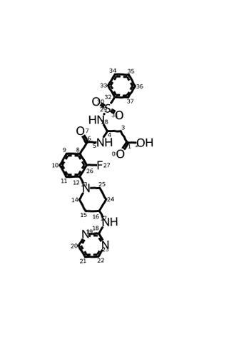 O=C(O)CC(NC(=O)c1cccc(N2CCC(Nc3ncccn3)CC2)c1F)NS(=O)(=O)c1ccccc1